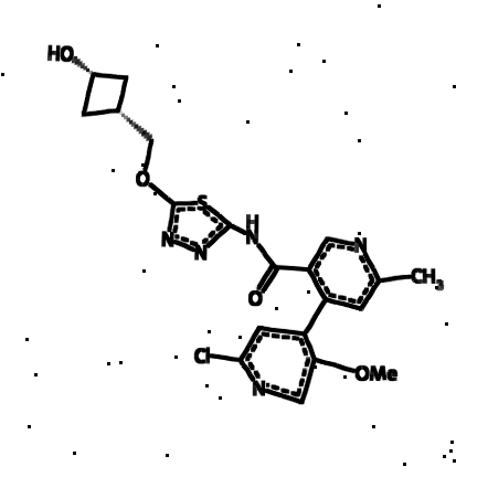 COc1cnc(Cl)cc1-c1cc(C)ncc1C(=O)Nc1nnc(OC[C@H]2C[C@@H](O)C2)s1